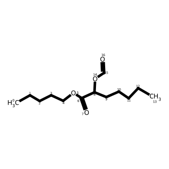 CCCCCOC(=O)C(CCCCC)O[C]=O